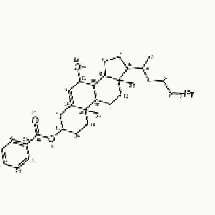 CC(C)CCCC(C)C1CCC2C3C(O)C=C4CC(OC(=O)c5ccccc5)CCC4(C)C3CCC12C